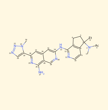 CCC1(N(C)C(C)=O)CCc2c1ccnc2Nc1cc2cc(-c3cnnn3C)nc(N)c2cn1